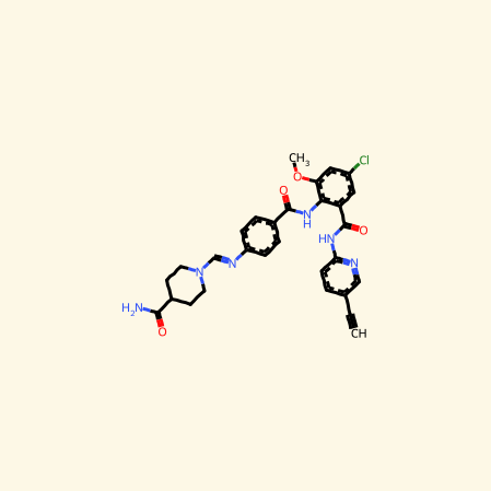 C#Cc1ccc(NC(=O)c2cc(Cl)cc(OC)c2NC(=O)c2ccc(N=CN3CCC(C(N)=O)CC3)cc2)nc1